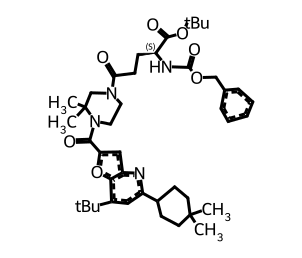 CC1(C)CCC(c2cc(C(C)(C)C)c3oc(C(=O)N4CCN(C(=O)CC[C@H](NC(=O)OCc5ccccc5)C(=O)OC(C)(C)C)CC4(C)C)cc3n2)CC1